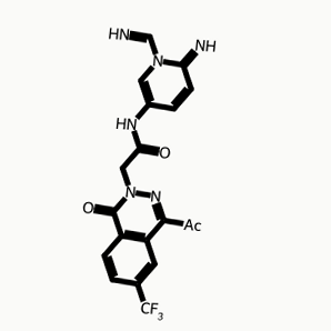 CC(=O)c1nn(CC(=O)Nc2ccc(=N)n(C=N)c2)c(=O)c2ccc(C(F)(F)F)cc12